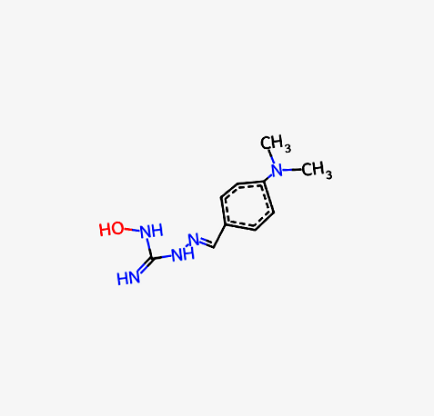 CN(C)c1ccc(C=NNC(=N)NO)cc1